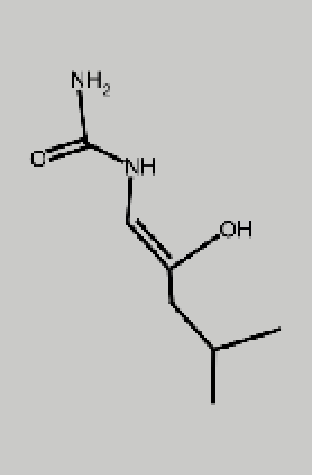 CC(C)CC(O)=CNC(N)=O